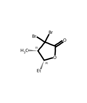 CC[C@H]1OC(=O)C(Br)(Br)[C@H]1C